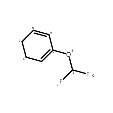 FC(F)OC1=CC[CH]C=C1